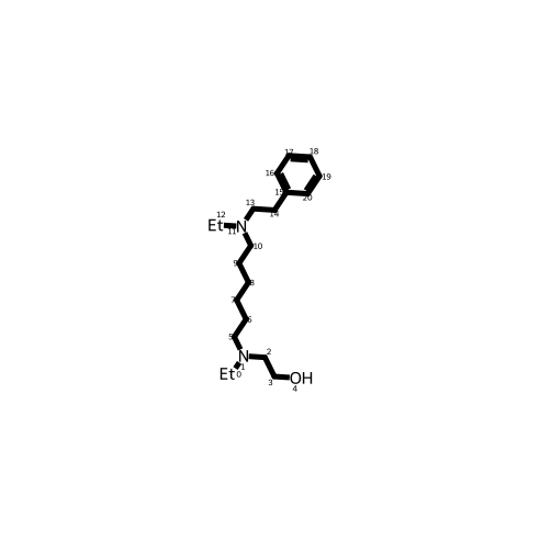 CCN(CCO)CCCCCCN(CC)CCc1ccccc1